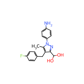 Cc1c(Cc2ccc(F)cc2)c(C(O)O)nn1-c1ccc(N)cc1